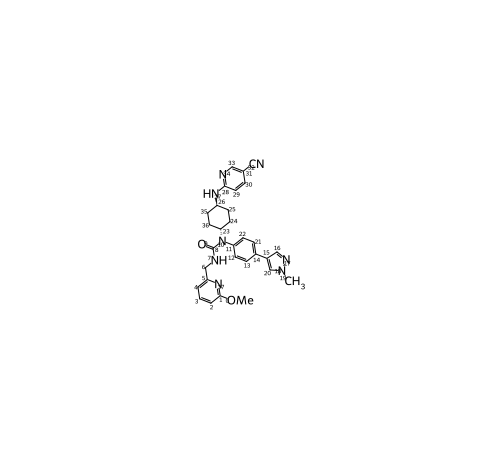 COc1cccc(CNC(=O)N(c2ccc(-c3cnn(C)c3)cc2)[C@H]2CC[C@H](Nc3ccc(C#N)cn3)CC2)n1